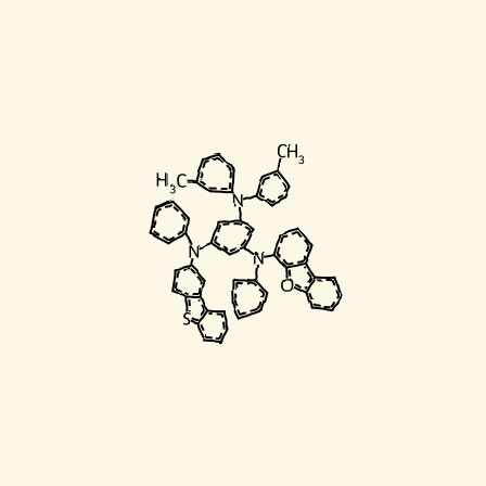 Cc1cccc(N(c2cccc(C)c2)c2cc(N(c3ccccc3)c3ccc4sc5ccccc5c4c3)cc(N(c3ccccc3)c3cccc4c3oc3ccccc34)c2)c1